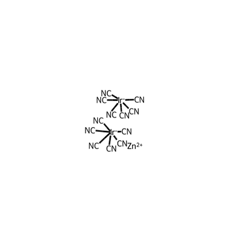 N#[C][Ir-]([C]#N)([C]#N)([C]#N)([C]#N)[C]#N.N#[C][Ir-]([C]#N)([C]#N)([C]#N)([C]#N)[C]#N.[Zn+2]